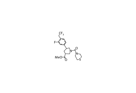 COC(=O)C1CC(c2ccc(CC(F)(F)F)c(F)c2)CN(C(=O)N2CCSCC2)C1